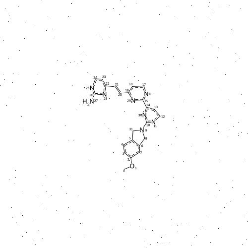 COc1ccc2c(c1)CN(c1nccc(-c3nccc(/C=C/c4ccnc(N)n4)n3)n1)C2